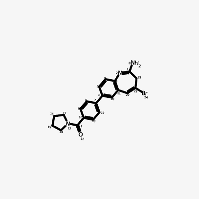 NC1=Nc2ccc(-c3ccc(C(=O)N4CCCC4)cc3)cc2C=C(Br)C1